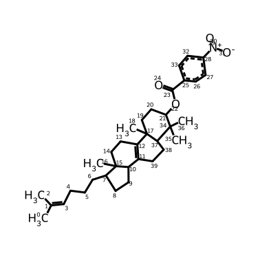 CC(C)=CCCCC1CCC2C3=C(CCC12C)C1(C)CCC(OC(=O)c2ccc([N+](=O)[O-])cc2)C(C)(C)C1CC3